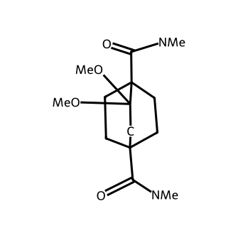 CNC(=O)C12CCC(C(=O)NC)(CC1)C(OC)(OC)C2